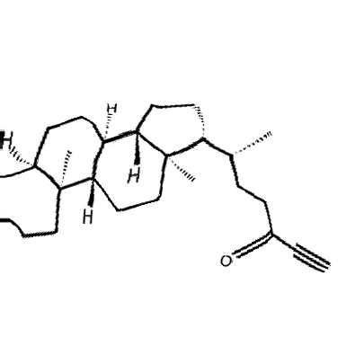 C#CC(=O)CC[C@@H](C)[C@H]1CC[C@H]2[C@@H]3CC[C@@H]4CCCC[C@]4(C)[C@H]3CC[C@]12C